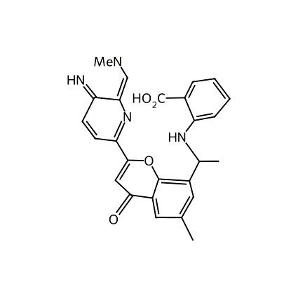 CN/C=C1/N=C(c2cc(=O)c3cc(C)cc(C(C)Nc4ccccc4C(=O)O)c3o2)C=CC1=N